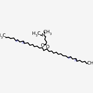 CCCCC/C=C/C/C=C/CCCCCCCCC(CCCCCCCC/C=C/C/C=C/CCCCC)OC(=O)CCCN(C)CC